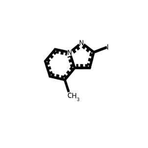 Cc1cccn2nc(I)cc12